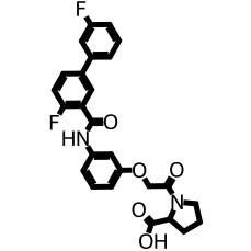 O=C(Nc1cccc(OCC(=O)N2CCCC2C(=O)O)c1)c1cc(-c2cccc(F)c2)ccc1F